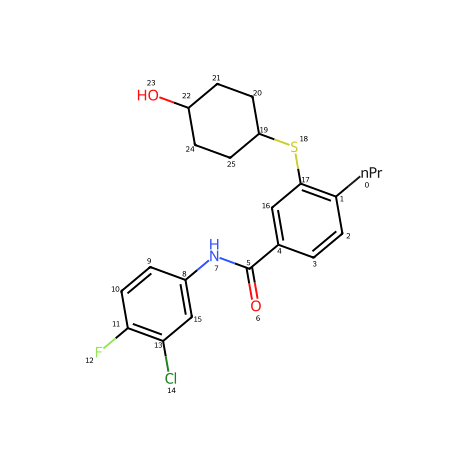 CCCc1ccc(C(=O)Nc2ccc(F)c(Cl)c2)cc1SC1CCC(O)CC1